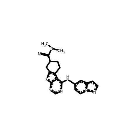 CN(C)C(=O)C1CCc2c(sc3ncnc(Nc4ccn5nccc5c4)c23)C1